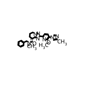 COc1nc(-c2nc3n(n2)CCC[C@H]3C(=O)N(C)Cc2ccccc2)ccc1-n1cnc(C)c1